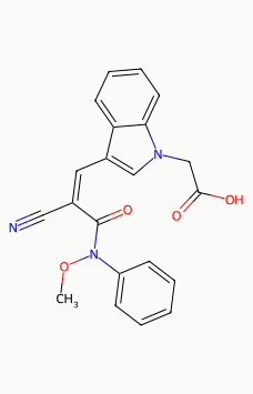 CON(C(=O)C(C#N)=Cc1cn(CC(=O)O)c2ccccc12)c1ccccc1